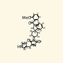 COc1ccccc1C(=O)NC[C@]1(c2ccccc2)CC[C@H](N2C(=O)N=C(Cc3c[nH]cn3)C2=O)CC1